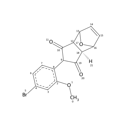 COc1cc(Br)ccc1C1C(=O)C2C3C=CC(O3)[C@H]2C1=O